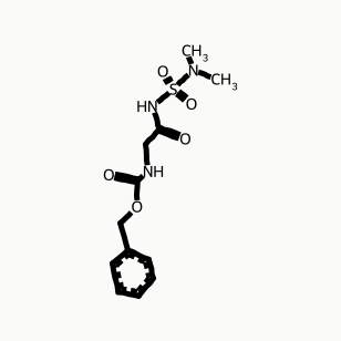 CN(C)S(=O)(=O)NC(=O)CNC(=O)OCc1ccccc1